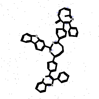 C=C1\C=C/C=C\C(C)=N\C(c2ccccc2)=C/1c1ccc(/C2=N/C(c3ccc4c(c3)oc3ccccc34)=N\C(c3ccc(/C(C)=C(/N=C4/C=CC=C=C4C)c4ccccc4)cc3)=C=CC2)cc1